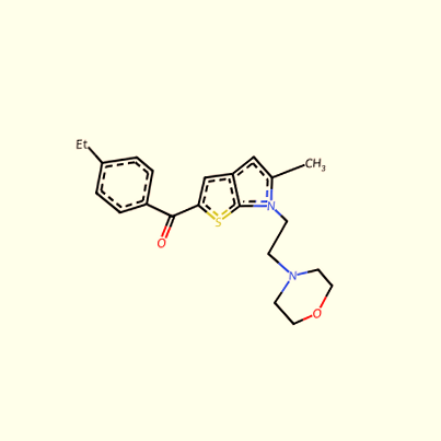 CCc1ccc(C(=O)c2cc3cc(C)n(CCN4CCOCC4)c3s2)cc1